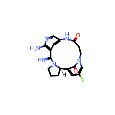 N=C1c2cc(cnc2N)NC(=O)CCn2cc(F)cc(c2=O)[C@H]2CCCN12